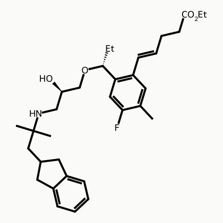 CCOC(=O)CC/C=C/c1cc(C)c(F)cc1[C@@H](CC)OC[C@H](O)CNC(C)(C)CC1Cc2ccccc2C1